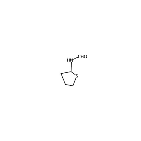 O=CNC1CCCS1